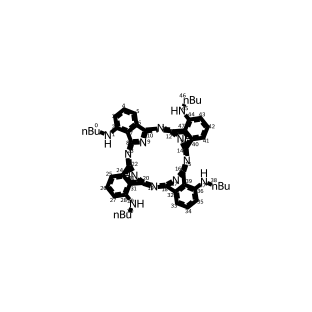 CCCCNc1cccc2c1-c1nc-2nc2[nH]c(nc3nc(nc4[nH]c(n1)c1cccc(NCCCC)c41)-c1cccc(NCCCC)c1-3)c1cccc(NCCCC)c21